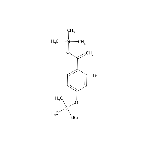 C=C(O[Si](C)(C)C)c1ccc(O[Si](C)(C)C(C)(C)C)cc1.[Li]